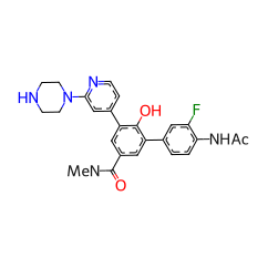 CNC(=O)c1cc(-c2ccnc(N3CCNCC3)c2)c(O)c(-c2ccc(NC(C)=O)c(F)c2)c1